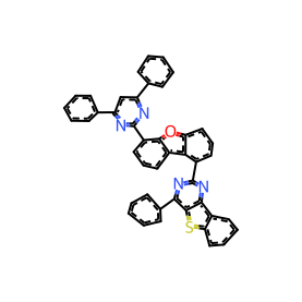 c1ccc(-c2cc(-c3ccccc3)nc(-c3cccc4c3oc3cccc(-c5nc(-c6ccccc6)c6sc7ccccc7c6n5)c34)n2)cc1